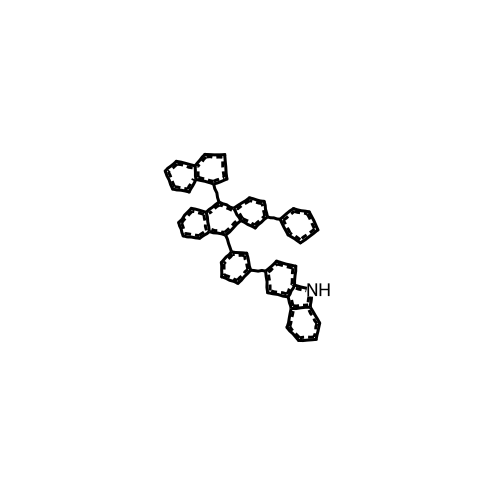 c1ccc(-c2ccc3c(-c4cccc5ccccc45)c4ccccc4c(-c4cccc(-c5ccc6[nH]c7ccccc7c6c5)c4)c3c2)cc1